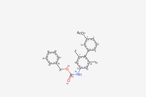 CC(=O)Oc1cccc(-c2c(C)cc(NC(=O)OCc3ccccc3)cc2C)c1